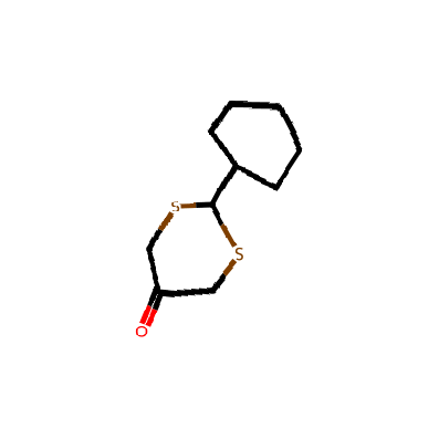 O=C1CSC(C2CCCCC2)SC1